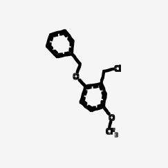 FC(F)(F)Oc1ccc(OCc2ccccc2)c(CCl)c1